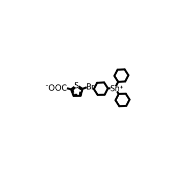 C1CC[CH]([Sn+]([CH]2CCCCC2)[CH]2CCCCC2)CC1.O=C([O-])c1ccc(Br)s1